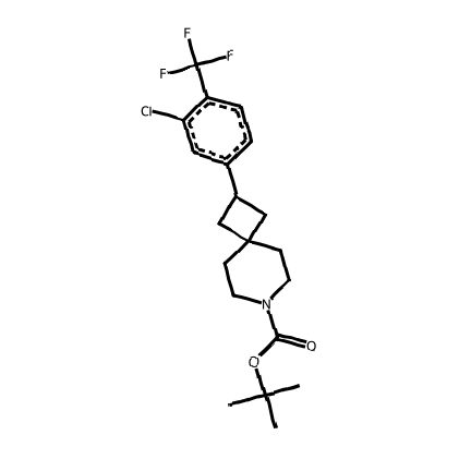 CC(C)(C)OC(=O)N1CCC2(CC1)CC(c1ccc(C(F)(F)F)c(Cl)c1)C2